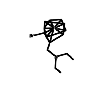 CCN(CC)C[C]12[CH]3[CH]4[CH]5[C]1(Br)[Fe]45321678[CH]2[CH]1[CH]6[CH]7[CH]28